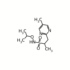 Cc1cnc(CC(C)S(=O)(=O)NOC(C)C)nc1